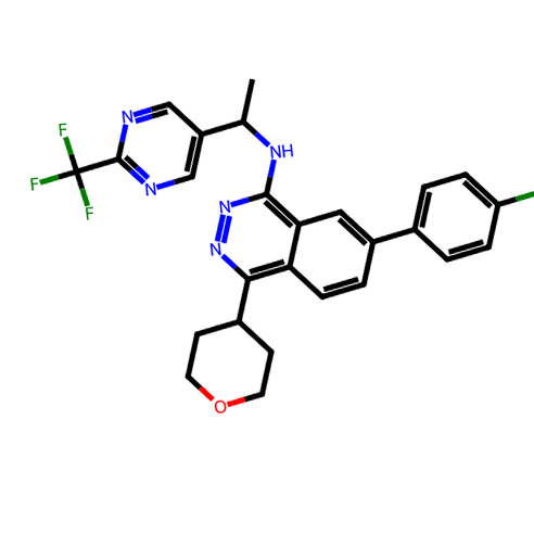 CC(Nc1nnc(C2CCOCC2)c2ccc(-c3ccc(F)cc3)cc12)c1cnc(C(F)(F)F)nc1